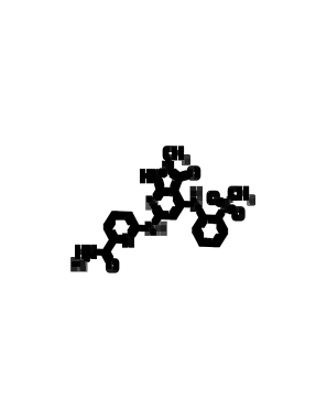 CCNC(=O)c1cccc(Nc2cc(Nc3ccccc3S(C)(=O)=O)c3c(=O)n(C)[nH]c3n2)n1